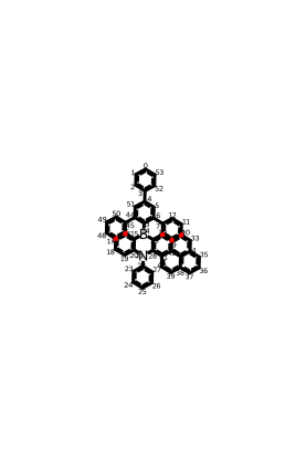 c1ccc(-c2cc(-c3ccccc3)c(B3c4ccccc4N(c4ccccc4)c4c3cc3ccc5cccc6ccc4c3c56)c(-c3ccccc3)c2)cc1